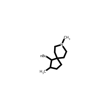 CCCCC1C(C)CCC12CCN(C)CC2